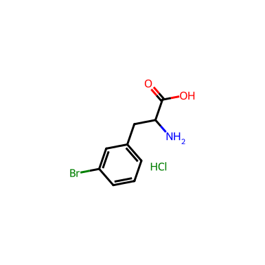 Cl.NC(Cc1cccc(Br)c1)C(=O)O